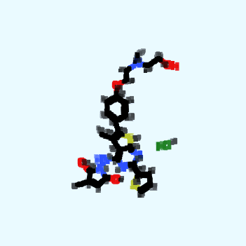 CC1=CC(=O)N(Nc2nc(-c3cccs3)nc3sc(-c4ccc(OCCN(C)CCO)cc4)c(C)c23)C1=O.Cl